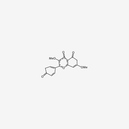 COC1=Cc2oc(C3=CCC(=O)C=C3)c(OC)c(=O)c2C(=O)C1